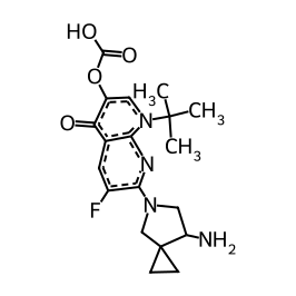 CC(C)(C)n1cc(OC(=O)O)c(=O)c2cc(F)c(N3CC(N)C4(CC4)C3)nc21